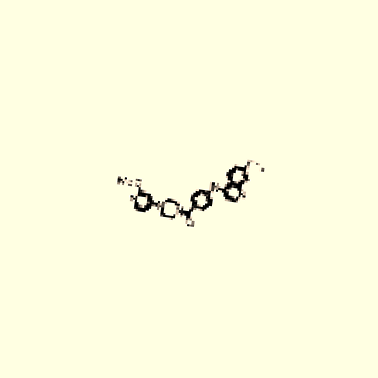 COc1cc(N2CCN(C(=O)c3ccc(Nc4ccnc5cc(C(F)(F)F)ccc45)cc3)CC2)ccn1